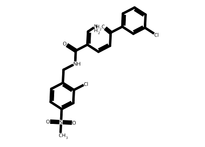 C=C(/C=C\C(=C/N)C(=O)NCc1ccc(S(C)(=O)=O)cc1Cl)c1cccc(Cl)c1